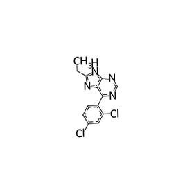 CCc1nc2c(-c3ccc(Cl)cc3Cl)ncnc2[nH]1